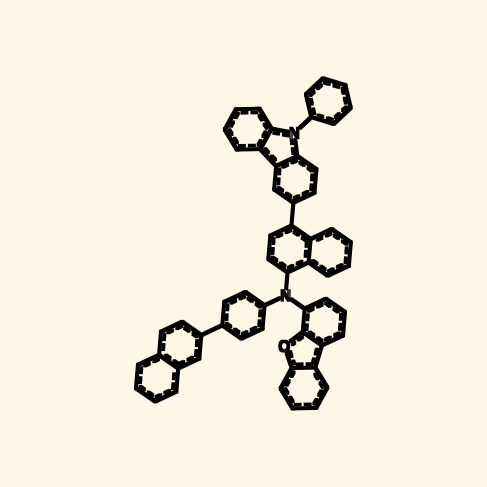 c1ccc(-n2c3ccccc3c3cc(-c4ccc(N(c5ccc(-c6ccc7ccccc7c6)cc5)c5cccc6c5oc5ccccc56)c5ccccc45)ccc32)cc1